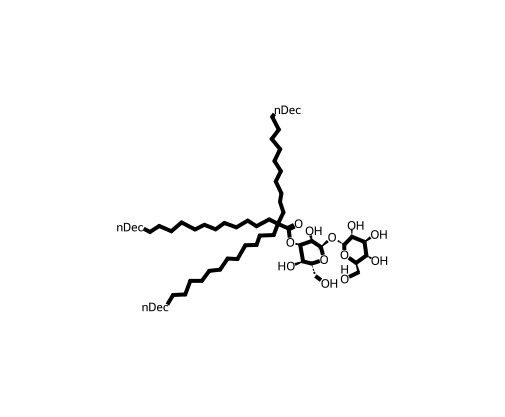 CCCCCCCCCCCCCCCCCCCCCCC(CCCCCCCCCCCCCCCCCCCC)(CCCCCCCCCCCCCCCCCCCCCC)C(=O)O[C@@H]1[C@@H](O)[C@@H](O[C@H]2O[C@H](CO)[C@@H](O)[C@H](O)[C@H]2O)O[C@H](CO)[C@H]1O